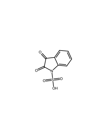 O=C1C(=O)N(S(=O)(=O)O)c2ccccc21